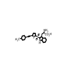 Cc1ccc(C#Cc2ccc(S(=O)(=O)c3[nH]c4ccccc4c3C[C@@H](N)C(=O)O)s2)cc1